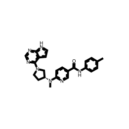 Cc1ccc(NC(=O)c2ccc(N(C)[C@@H]3CCN(c4ncnc5[nH]ccc45)C3)nc2)cc1